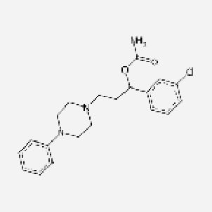 NC(=O)OC(CCN1CCN(c2ccccc2)CC1)c1cccc(Cl)c1